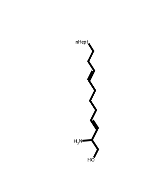 CCCCCCCCCC=CCCCC=CC(N)CO